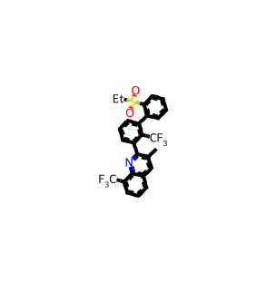 CCS(=O)(=O)c1ccccc1-c1cccc(-c2nc3c(C(F)(F)F)cccc3cc2C)c1C(F)(F)F